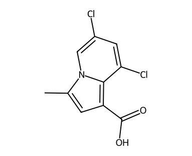 Cc1cc(C(=O)O)c2c(Cl)cc(Cl)cn12